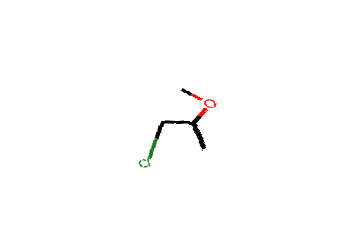 COC(C)CCl